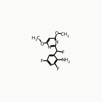 COc1cc(OC)nc(C(F)c2cc(F)cc(F)c2N)n1